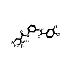 CC(C)CC(C(=O)Nc1cccc(NC(=O)c2ccc(Cl)c(Cl)c2)c1)P(=O)(O)O